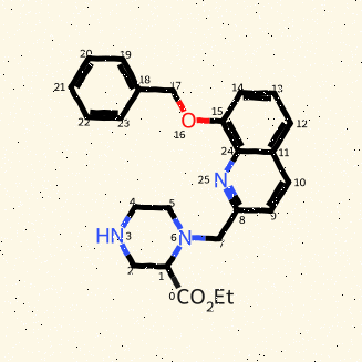 CCOC(=O)C1CNCCN1Cc1ccc2cccc(OCc3ccccc3)c2n1